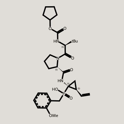 C=C[C@@H]1C[C@]1(NC(=O)[C@@H]1CCCN1C(=O)[C@@H](NC(=O)OC1CCCC1)C(C)(C)C)P(=O)(O)Cc1ccccc1OC